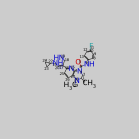 CC1CN(C(=O)Nc2ccc(F)cc2)c2nc(/C(C=N)=C/NC3CC3)ccc2N1C